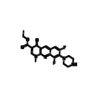 CCOC(=O)c1cn(C)c2nc3c(F)c(N4CCNCC4)c(F)cc3cc2c1=O